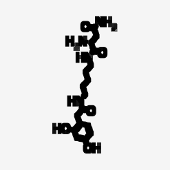 NC(=O)C[C@@H](N)C(=O)NCCCCCNC(=O)Cc1ccc(O)cc1O